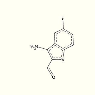 Nc1c(C=O)sc2ccc(F)cc12